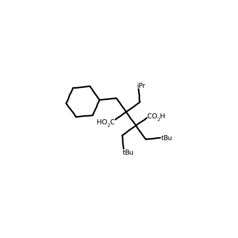 CC(C)CC(CC1CCCCC1)(C(=O)O)C(CC(C)(C)C)(CC(C)(C)C)C(=O)O